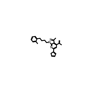 C=C(C)c1cc(C2=CC=CC2)nc2c1c(C)nn2CCCCc1ccccc1C